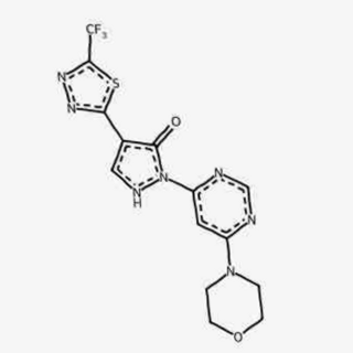 O=c1c(-c2nnc(C(F)(F)F)s2)c[nH]n1-c1cc(N2CCOCC2)ncn1